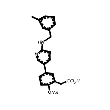 COc1ccc(-c2ccc(NCc3cccc(C)c3)nc2)cc1CC(=O)O